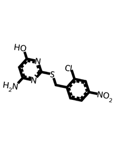 Nc1cc(O)nc(SCc2ccc([N+](=O)[O-])cc2Cl)n1